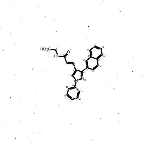 O=C(O)CNC(=O)C=Cc1cn(-c2ccccc2)nc1-c1ccc2ccccc2c1